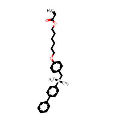 C=CC(=O)OCCCCCCOc1ccc(C[Si](C)(C)c2ccc(-c3ccccc3)cc2)cc1